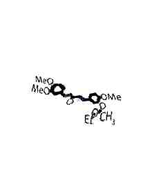 CCOC(C)Oc1cc(/C=C/C(=O)/C=C/c2ccc(OC)c(OC)c2)ccc1OC